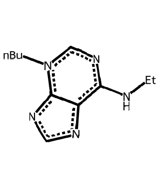 CCCCn1cnc(NCC)c2ncnc1-2